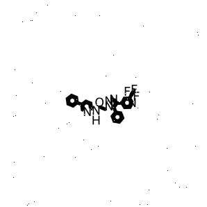 O=C(Cn1nnc(-c2ccnc(C(F)(F)F)c2)c1-c1ccccc1)Nc1ccc(-c2ccccc2)cn1